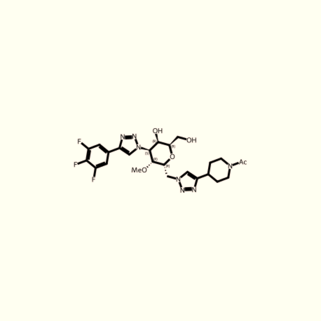 CO[C@@H]1[C@@H](n2cc(-c3cc(F)c(F)c(F)c3)nn2)[C@@H](O)[C@@H](CO)O[C@@H]1Cn1cc(C2CCN(C(C)=O)CC2)nn1